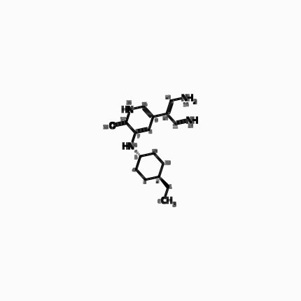 CC[C@H]1CC[C@H](Nc2cc(/C(C=N)=C/N)c[nH]c2=O)CC1